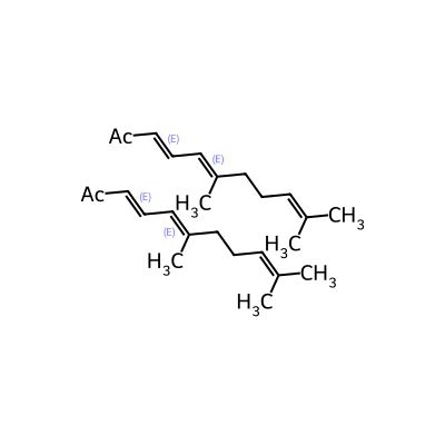 CC(=O)/C=C/C=C(\C)CCC=C(C)C.CC(=O)/C=C/C=C(\C)CCC=C(C)C